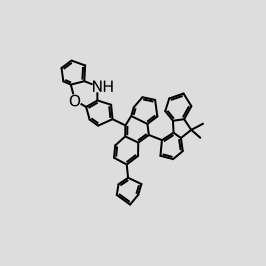 CC1(C)c2ccccc2-c2c(-c3c4ccccc4c(-c4ccc5c(c4)Nc4ccccc4O5)c4ccc(-c5ccccc5)cc34)cccc21